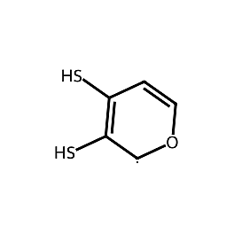 SC1=C(S)C=CO[CH]1